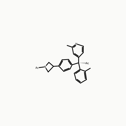 CC(=O)N1CC(c2ccc([C@@](C(C)=O)(c3ccnc(C)c3)c3ccccc3C)cc2)C1